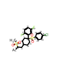 CC(=O)C(CC1CCC(c2cc(F)ccc2F)(S(=O)(=O)c2ccc(Cl)cc2)CC1)S(C)(=O)=O